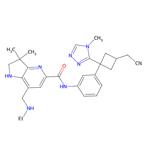 CCNCc1cc(C(=O)Nc2cccc(C3(c4nncn4C)CC(CC#N)C3)c2)nc2c1NCC2(C)C